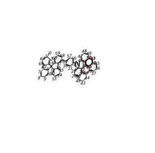 CC1C=C(C2(c3ccccc3)c3ccccc3-c3c(-c4ccc(N(c5ccccc5-c5cccc6cccc(C7CCCCC7)c56)c5cccc6ccccc56)cc4)cccc32)C=CC1